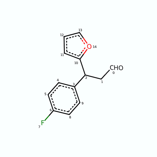 O=CCC(c1ccc(F)cc1)c1ccco1